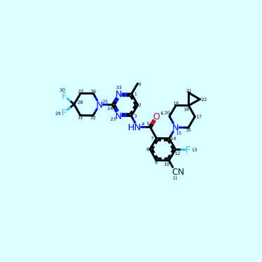 Cc1cc(NC(=O)c2ccc(C#N)c(F)c2N2CCC3(CC2)CC3)nc(N2CCC(F)(F)CC2)n1